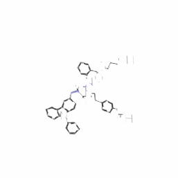 CCCCOC(=O)c1ccccc1/N=C1\O/C(=C/c2ccc3c(c2)c2ccccc2n3-c2ccccc2)C(=O)N1CCc1ccc(OC)cc1